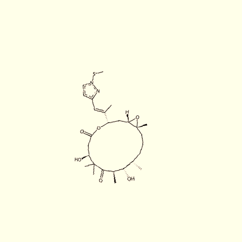 CSn1ccc(/C=C(\C)[C@@H]2C[C@@H]3O[C@]3(C)CCC[C@H](C)[C@H](O)[C@@H](C)C(=O)C(C)(C)[C@@H](O)CC(=O)O2)n1